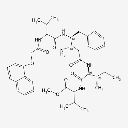 CC[C@H](C)[C@H](NC(=O)C[C@H](N)[C@H](Cc1ccccc1)NC(=O)C(NC(=O)COc1cccc2ccccc12)C(C)C)C(=O)NC(C(=O)OC)C(C)C